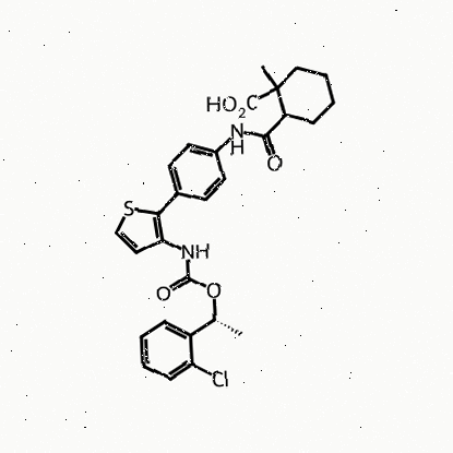 C[C@@H](OC(=O)Nc1ccsc1-c1ccc(NC(=O)C2CCCCC2(C)C(=O)O)cc1)c1ccccc1Cl